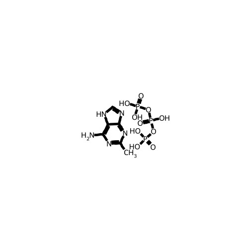 Cc1nc(N)c2[nH]cnc2n1.O=P(O)(O)OP(=O)(O)OP(=O)(O)O